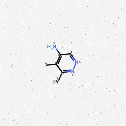 Cc1c(N)cnnc1C(C)C